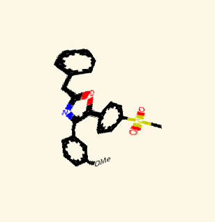 COc1cccc(-c2nc(Cc3ccccc3)oc2-c2ccc(S(C)(=O)=O)cc2)c1